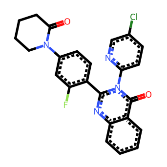 O=C1CCCCN1c1ccc(-c2nc3ccccc3c(=O)n2-c2ccc(Cl)cn2)c(F)c1